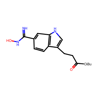 CC(C)COC(=O)CCc1c[nH]c2cc(C(=N)NO)ccc12